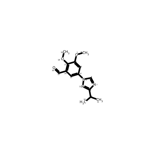 COc1cc(-n2cnc(C(C)C)n2)cc(C=O)c1OC